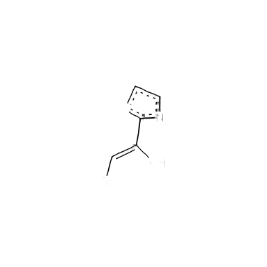 C/C(=C\Br)c1nccs1